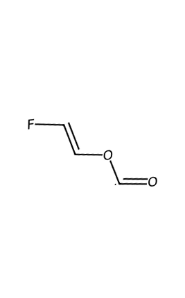 O=[C]O/C=C/F